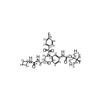 CC(C)(OC(=O)Nc1ccc2c(c1)N(S(=O)(=O)c1ccc(F)cc1)C[C@H](CNC(=O)NC1CCC1)O2)C(F)(F)F